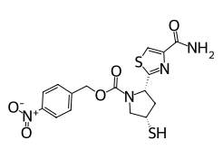 NC(=O)c1csc([C@@H]2C[C@H](S)CN2C(=O)OCc2ccc([N+](=O)[O-])cc2)n1